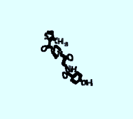 Cc1ccsc1C(=O)N1CCN(C(=O)CNC(=O)c2ccc(O)cc2)CC1